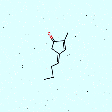 CCCC=C1C=C(C)C(=O)C1